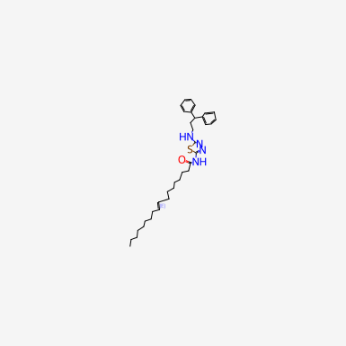 CCCCCCCC/C=C/CCCCCCCC(=O)Nc1nnc(NCCC(c2ccccc2)c2ccccc2)s1